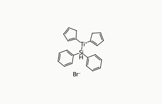 C1=CC[C]([Ti+]([C]2=CC=CC2)[SiH](c2ccccc2)c2ccccc2)=C1.[Br-]